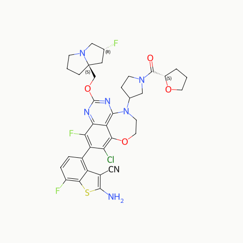 N#Cc1c(N)sc2c(F)ccc(-c3c(Cl)c4c5c(nc(OC[C@@]67CCCN6C[C@H](F)C7)nc5c3F)N(C3CCN(C(=O)[C@@H]5CCCO5)C3)CCO4)c12